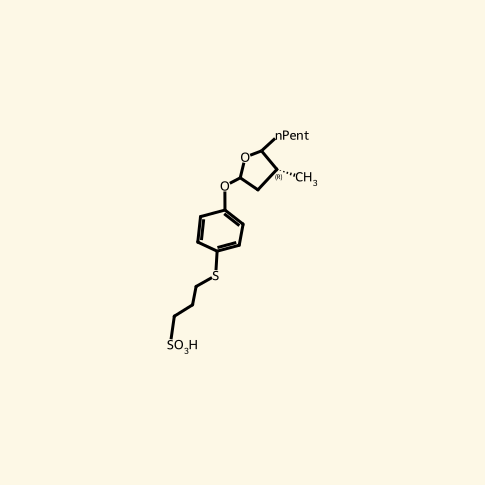 CCCCCC1OC(Oc2ccc(SCCCS(=O)(=O)O)cc2)C[C@H]1C